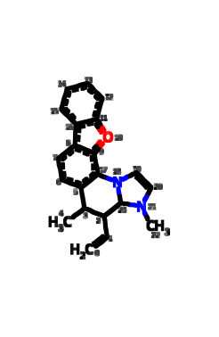 C=CC1C(C)c2ccc3c(oc4ccccc43)c2N2C=CN(C)C12